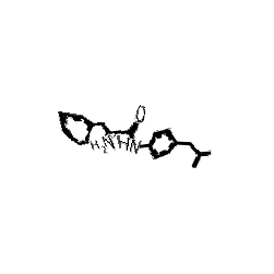 C[C](C)Cc1ccc(NC(=O)[C@H](N)Cc2ccccc2)cc1